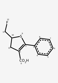 O=C(O)C1=C(c2ccccc2)SC(CF)C1